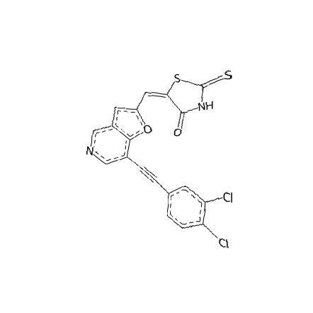 O=C1NC(=S)SC1=Cc1cc2cncc(C#Cc3ccc(Cl)c(Cl)c3)c2o1